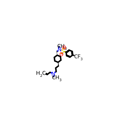 C=CCN(C)CCC[C@H]1CC[C@H](CN(C)S(=O)(=O)c2ccc(C(F)(F)F)cc2)CC1